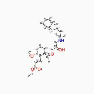 CCOC(=O)/C=C/c1c(OC)cccc1[C@@H](C)OC[C@H](O)CNC(C)(C)CC1Cc2ccccc2C1